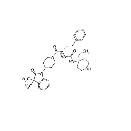 CCC1(NC(=O)N[C@@H](CCc2ccccc2)C(=O)N2CCC(N3C(=O)C(C)(C)c4ccccc43)CC2)CCNCC1